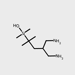 CC(C)(CC(CN)CN)[Si](C)(C)O